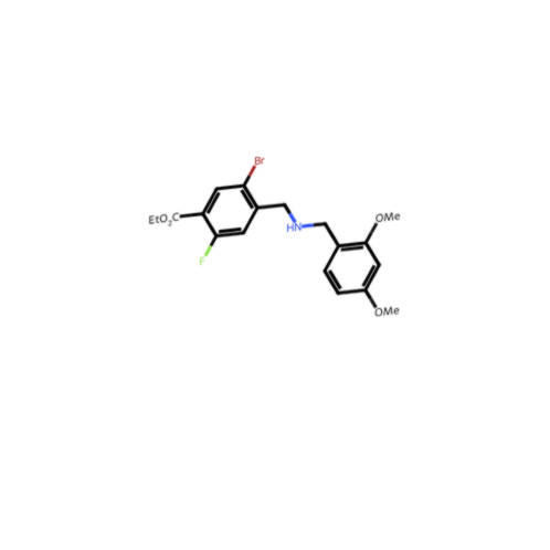 CCOC(=O)c1cc(Br)c(CNCc2ccc(OC)cc2OC)cc1F